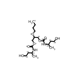 CCCCOC(COC(=O)NC(C)CCO)COC(=O)NC(C)CCO